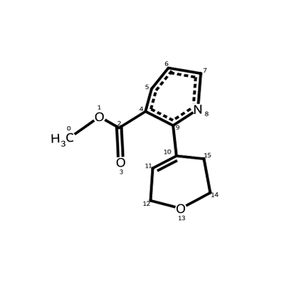 COC(=O)c1cccnc1C1=CCOCC1